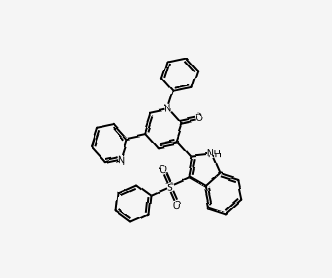 O=c1c(-c2[nH]c3ccccc3c2S(=O)(=O)c2ccccc2)cc(-c2ccccn2)cn1-c1ccccc1